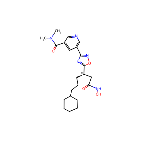 CN(C)C(=O)c1cncc(-c2noc([C@H](CCCC3CCCCC3)CC(=O)NO)n2)c1